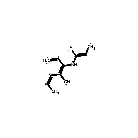 C=C/C(N/C(C)=C/C)=C(O)\C=C/C